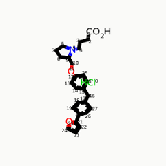 Cl.O=C(O)CCCN1CCCC1COc1ccc(Cc2ccc(-c3ccco3)cc2)cc1